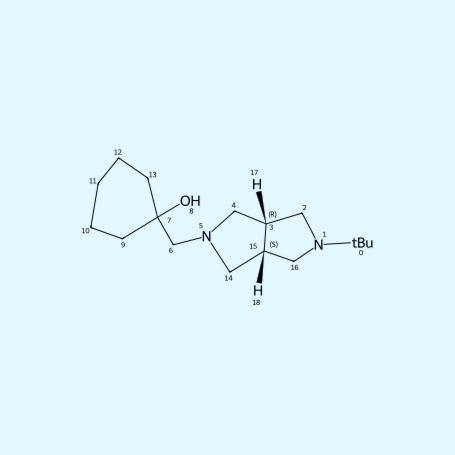 CC(C)(C)N1C[C@H]2CN(CC3(O)CCCCC3)C[C@H]2C1